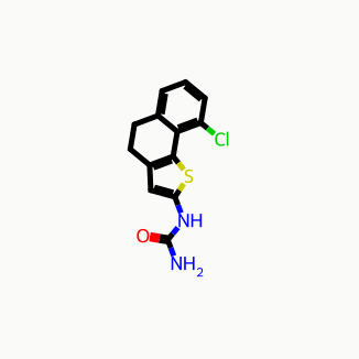 NC(=O)Nc1cc2c(s1)-c1c(Cl)cccc1CC2